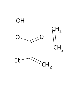 C=C.C=C(CC)C(=O)OO